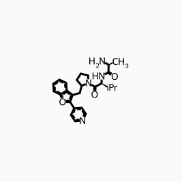 CC(C)[C@H](NC(=O)[C@H](C)N)C(=O)N1CCCC1Cc1c(-c2ccncc2)oc2ccccc12